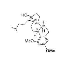 COc1cc2c(c(OC)c1)[C@H]1CC[C@]3(CCCN(C)C)[C@@H](O)CC[C@H]3[C@@H]1CC2